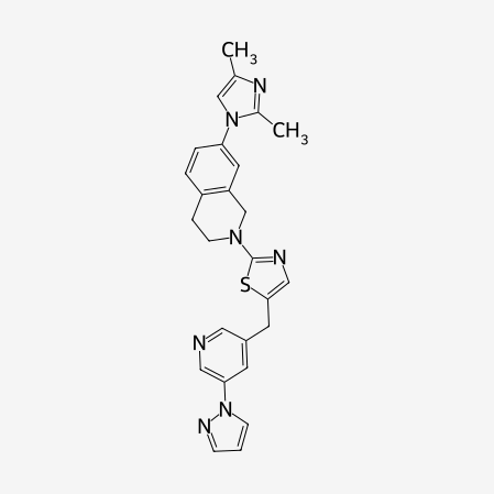 Cc1cn(-c2ccc3c(c2)CN(c2ncc(Cc4cncc(-n5cccn5)c4)s2)CC3)c(C)n1